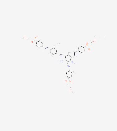 COc1cc(/C=C/c2c(N)c(/C=C/c3ccc(S(=O)(=O)CCOS(=O)(=O)O)cc3S(=O)(=O)O)c(N)c(/C=C/c3ccc(S(=O)(=O)CCOS(=O)(=O)O)cc3)c2C(=O)O)c(S(=O)(=O)O)cc1/C=C/c1ccc(S(=O)(=O)CCOS(=O)(=O)O)cc1